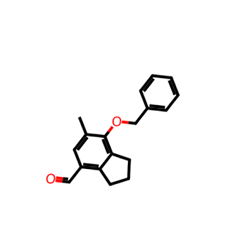 Cc1cc(C=O)c2c(c1OCc1ccccc1)CCC2